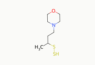 CC(CCN1CCOCC1)SS